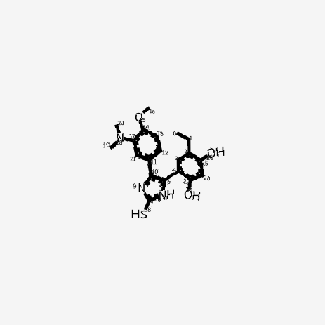 CCc1cc(-c2[nH]c(S)nc2-c2ccc(OC)c(N(C)C)c2)c(O)cc1O